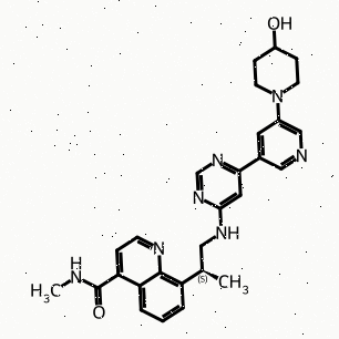 CNC(=O)c1ccnc2c([C@H](C)CNc3cc(-c4cncc(N5CCC(O)CC5)c4)ncn3)cccc12